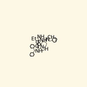 CC[C@H](N)C(=O)N[C@@H]1C(=O)N2[C@@H](CC[C@@H]1CN(C)Cc1ccccc1)CC[C@H]2C(=O)NC(c1ccccc1)c1ccccc1